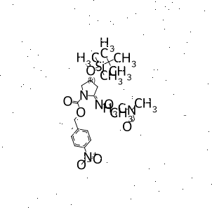 CN(C)C=O.CON=C1C[C@@H](O[Si](C)(C)C(C)(C)C)CN1C(=O)OCc1ccc([N+](=O)[O-])cc1